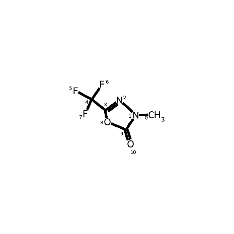 Cn1nc(C(F)(F)F)oc1=O